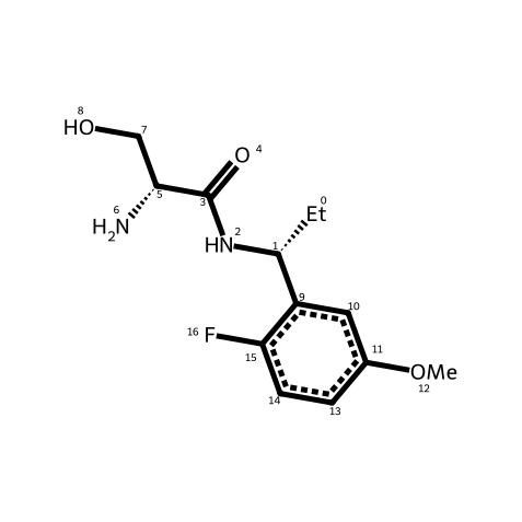 CC[C@@H](NC(=O)[C@H](N)CO)c1cc(OC)ccc1F